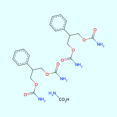 NC(=O)O.NC(=O)OCC(COC(N)=O)c1ccccc1.NC(=O)OCC(COC(N)=O)c1ccccc1